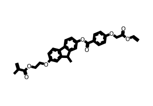 C=COC(=O)COc1ccc(C(=O)Oc2ccc3c(c2)C(C)c2cc(OCCOC(=O)C(=C)C)ccc2-3)cc1